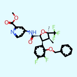 COC(=O)c1cc(NC(=O)[C@H]2O[C@@](C)(C(F)(F)F)[C@@H](C)[C@H]2c2ccc(F)c(F)c2OCc2ccccc2)ccn1